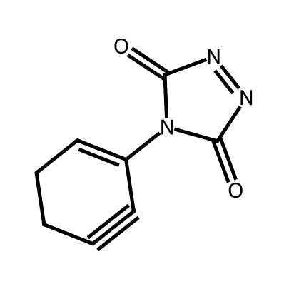 O=C1N=NC(=O)N1C1=CCCC#C1